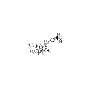 CCc1nc2sc(C(=O)NCCc3ccc(N4C[C@H]5CC[C@@H](C4)N5)cc3)c(NC)c2c(C(F)(F)F)c1C